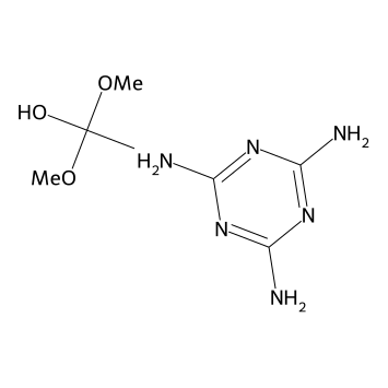 COC(C)(O)OC.Nc1nc(N)nc(N)n1